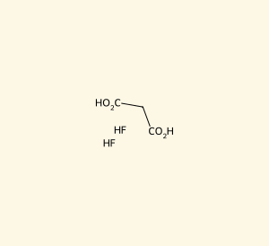 F.F.O=C(O)CC(=O)O